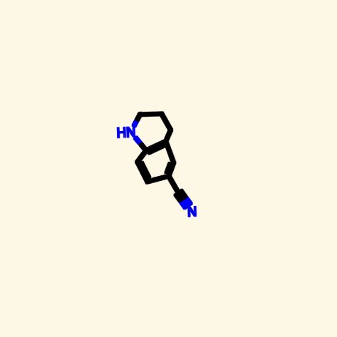 N#Cc1ccc2c(c1)CCCN2